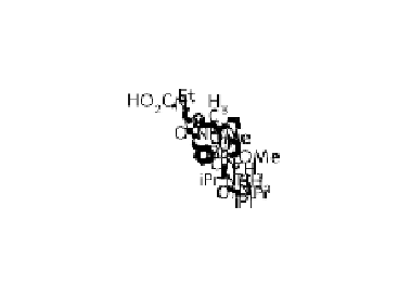 CC[C@H](C)[C@@H]([C@@H](CC(=O)N1CCC[C@H]1[C@H](OC)[C@@H](C)C(=O)N[C@@H](Cc1ccccc1)C(=O)OCCN(CC)CC(=O)O)OC)N(C)C(=O)[C@@H](NC(=O)[C@H](C(C)C)N(C)C(C)C)C(C)C